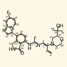 C=C/C(=C\N=C(/C)Nc1ccc(-c2cnc3cc(F)ccn23)c2c1C(=O)NC2)N1CCOC(C(C)(C)O)C1